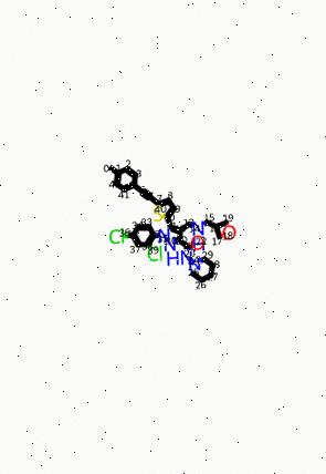 Cc1ccc(C#Cc2ccc(-c3c(CNCC4COC4)c(C(=O)NN4CCCCC4)nn3-c3ccc(Cl)cc3Cl)s2)cc1